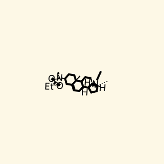 CCS(=O)(=O)N(C)[C@H]1CC[C@@]2(C)C(=CC[C@@H]3C2CC[C@]24CN(C)[C@@H](C)[C@H]2CC[C@@H]34)C1